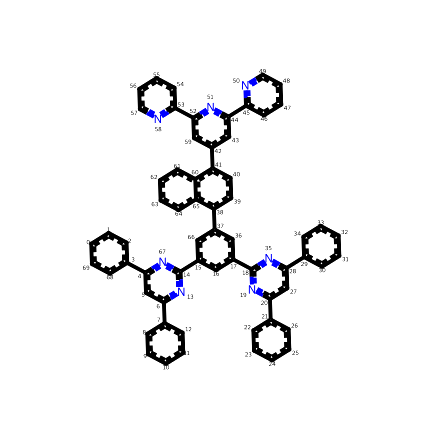 c1ccc(-c2cc(-c3ccccc3)nc(-c3cc(-c4nc(-c5ccccc5)cc(-c5ccccc5)n4)cc(-c4ccc(-c5cc(-c6ccccn6)nc(-c6ccccn6)c5)c5ccccc45)c3)n2)cc1